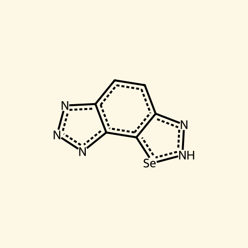 c1cc2n[nH][se]c2c2nnnc12